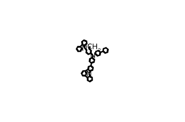 C=C/C=C(\C=C/Cn1c2ccccc2c2ccccc21)N(C1=CC=C(C2=CC=CCC2)CC1)c1ccc(-c2ccc3c(c2)c2cccc4c5ccccc5n3c42)cc1